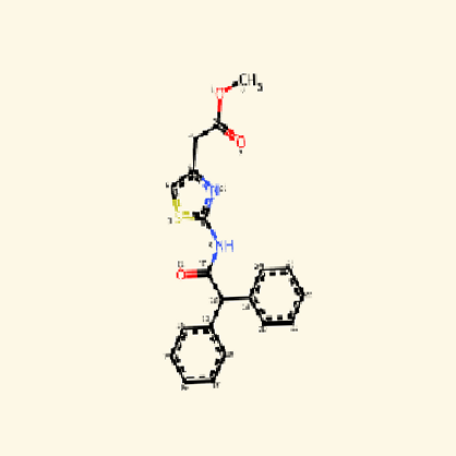 COC(=O)Cc1csc(NC(=O)C(c2ccccc2)c2ccccc2)n1